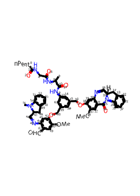 CCCCCC(=O)NCC(=O)NC(C)C(=O)Nc1cc(COc2cc3c(cc2OC)C(=O)N2c4ccccc4C[C@H]2C=N3)cc(COc2cc(/N=C\C3Cc4ccccc4N3C)c(C=O)cc2OC)c1